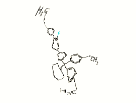 CCCc1ccc(-c2ccc(-c3ccc(C(c4ccc(CC)cc4)(c4ccc(CC)cc4)C4CCCCC4)cc3)cc2F)cc1